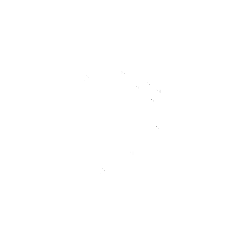 CC(CN)NS(=O)(=O)c1ccc(-c2cncc(N)c2)c(-c2nn[nH]n2)c1S(N)(=O)=O